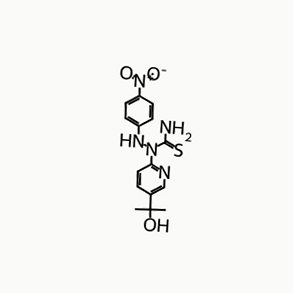 CC(C)(O)c1ccc(N(Nc2ccc([N+](=O)[O-])cc2)C(N)=S)nc1